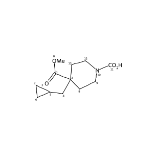 COC(=O)C1(CC2CC2)CCN(C(=O)O)CC1